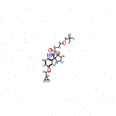 CC(C)(C)COCCCS(=O)(=O)NC1(c2cccc(OCC3CC3)c2)CCCC1